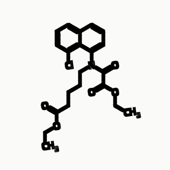 CCOC(=O)CCCCN(C(=O)C(=O)OCC)c1cccc2cccc(Cl)c12